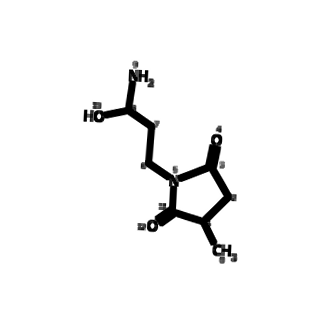 CC1CC(=O)N(CCC(N)O)C1=O